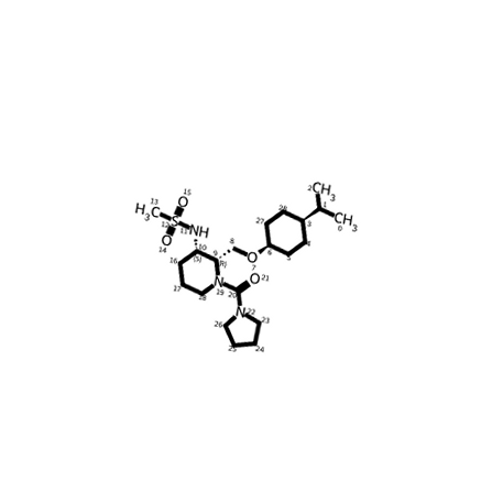 CC(C)[C@H]1CC[C@@H](OC[C@H]2[C@@H](NS(C)(=O)=O)CCCN2C(=O)N2CCCC2)CC1